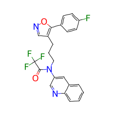 O=C(N(CCCc1cnoc1-c1ccc(F)cc1)c1cnc2ccccc2c1)C(F)(F)F